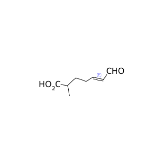 CC(CC/C=C/C=O)C(=O)O